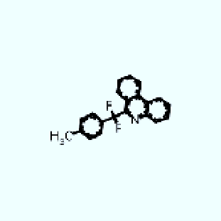 Cc1ccc(C(F)(F)c2nc3ccccc3c3ccccc23)cc1